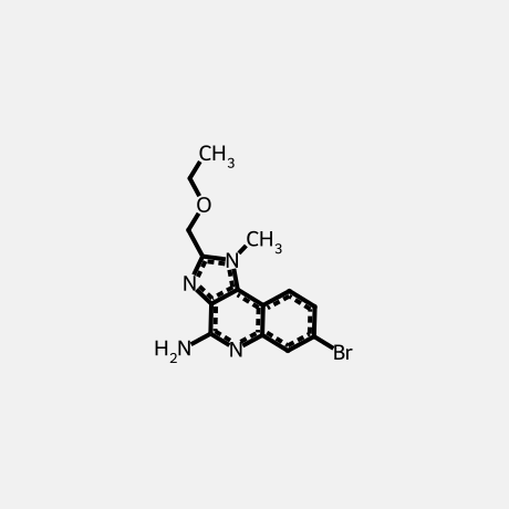 CCOCc1nc2c(N)nc3cc(Br)ccc3c2n1C